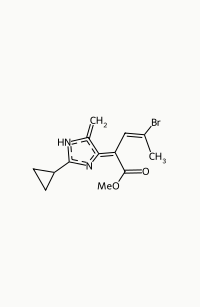 C=c1[nH]c(C2CC2)n/c1=C(/C=C(\C)Br)C(=O)OC